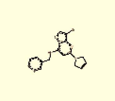 Brc1cnn2c(NCc3cccnc3)cc(N3CC=CC3)nc12